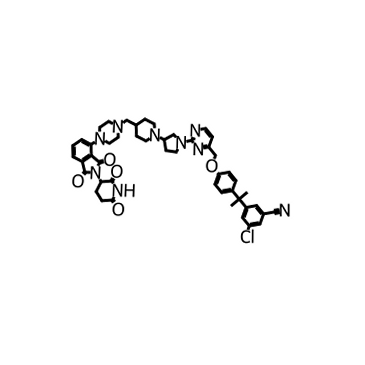 CC(C)(c1ccc(OCc2ccnc(N3CCC(N4CCC(CN5CCN(c6cccc7c6C(=O)N(C6CCC(=O)NC6=O)C7=O)CC5)CC4)C3)n2)cc1)c1cc(Cl)cc(C#N)c1